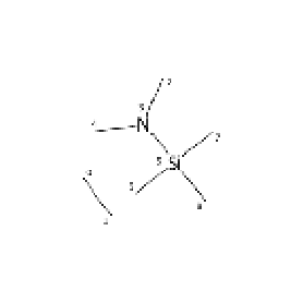 CC.CN(C)[Si](C)(C)C